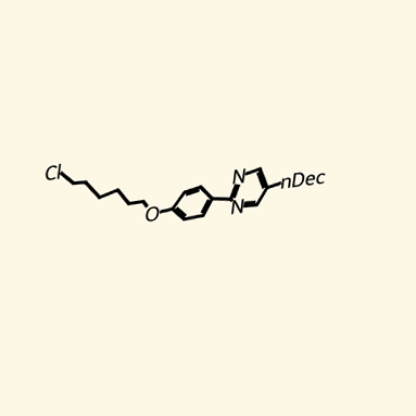 CCCCCCCCCCc1cnc(-c2ccc(OCCCCCCCl)cc2)nc1